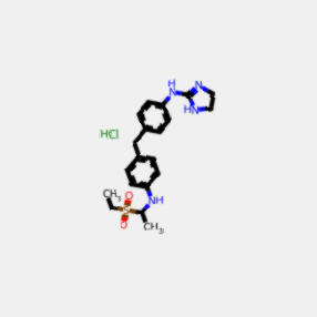 CCS(=O)(=O)C(C)Nc1ccc(Cc2ccc(NC3=NCCN3)cc2)cc1.Cl